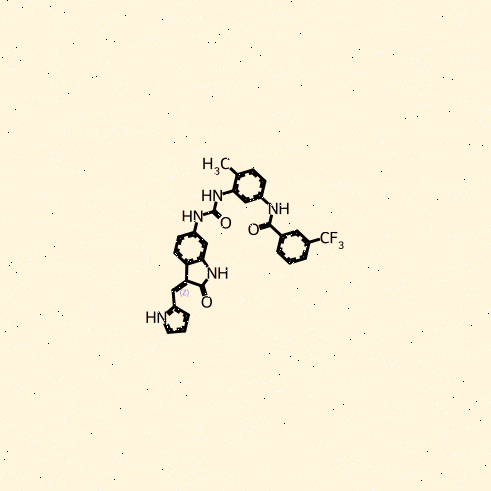 Cc1ccc(NC(=O)c2cccc(C(F)(F)F)c2)cc1NC(=O)Nc1ccc2c(c1)NC(=O)/C2=C\c1ccc[nH]1